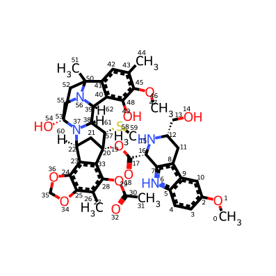 COc1ccc2[nH]c3c(c2c1)C[C@@H](CO)N[C@H]3C(=O)O[C@@]12C[C@@H](c3c4c(c(C)c(OC(C)=O)c31)OCO4)N1[C@H]([C@@H]3c4c(cc(C)c(OC)c4O)C4(C)C[C@]1(O)CN34)[C@@H]2SC